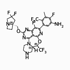 Cc1c(F)c(N)cc(-c2nc3c4c(nc(OC[C@]56CCN5CC(F)(F)C6)nc4c2F)N2CCNC[C@H]2[C@H](C(F)(F)F)O3)c1C(F)(F)F